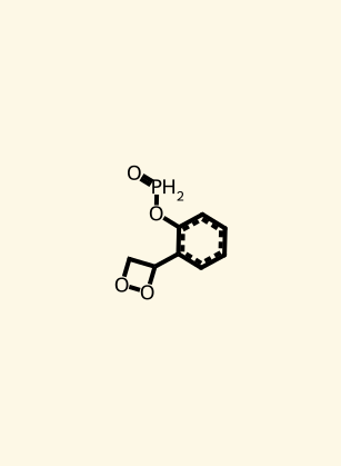 O=[PH2]Oc1ccccc1C1COO1